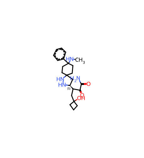 CNC1(c2ccccc2)CCC2(CC1)C[C@@H](C(CC1(O)CCC1)C(=O)C(N)=O)NN2